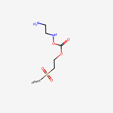 CCCCCS(=O)(=O)CCOC(=O)ONCCN